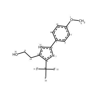 COc1ccc(-c2nc(C(F)(F)F)c(CCO)[nH]2)cc1